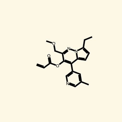 C=CC(=O)Oc1c(COC)nn2c(CC)ccc2c1-c1cncc(C)c1